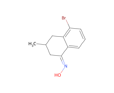 CC1CC(=NO)c2cccc(Br)c2C1